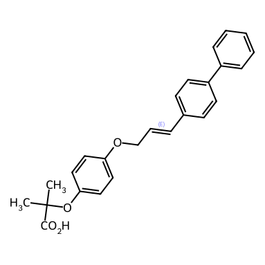 CC(C)(Oc1ccc(OC/C=C/c2ccc(-c3ccccc3)cc2)cc1)C(=O)O